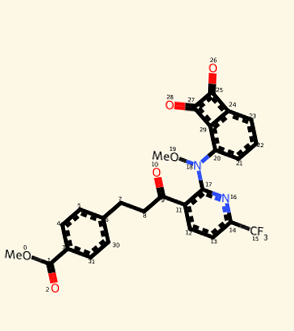 COC(=O)c1ccc(CCC(=O)c2ccc(C(F)(F)F)nc2N(OC)c2cccc3c(=O)c(=O)c23)cc1